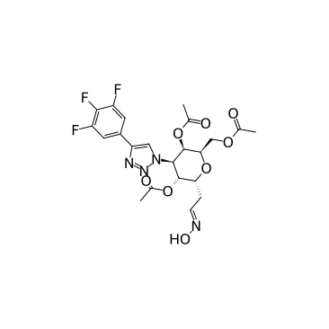 CC(=O)OC[C@H]1O[C@H](CC=NO)[C@H](OC(C)=O)[C@@H](n2cc(-c3cc(F)c(F)c(F)c3)nn2)[C@H]1OC(C)=O